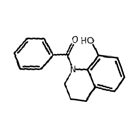 O=C(c1ccccc1)N1CCCc2cccc(O)c21